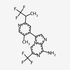 Cc1cnc(C(C)C(F)(F)F)cc1-c1cnc2c(N)nc(C(F)(F)F)cn12